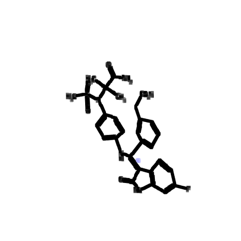 CC(C)(C(N)=O)N(c1ccc(N/C(=C2\C(=O)Nc3cc(F)ccc32)c2cccc(CC(=O)O)c2)cc1)S(C)(=O)=O